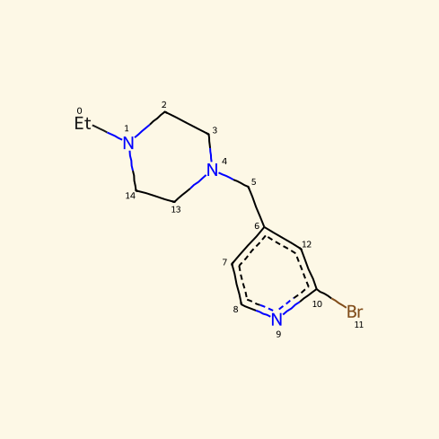 CCN1CCN(Cc2ccnc(Br)c2)CC1